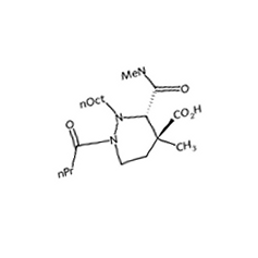 CCCCCCCCN1[C@H](C(=O)NC)[C@@](C)(C(=O)O)CCN1C(=O)CCC